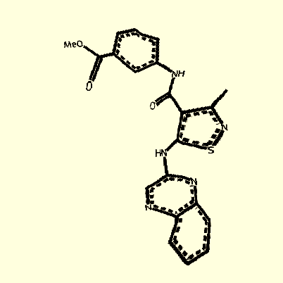 COC(=O)c1cccc(NC(=O)c2c(C)nsc2Nc2cnc3ccccc3n2)c1